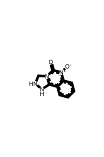 O=c1n2c(c3ccccc3[n+]1[O-])NNC2